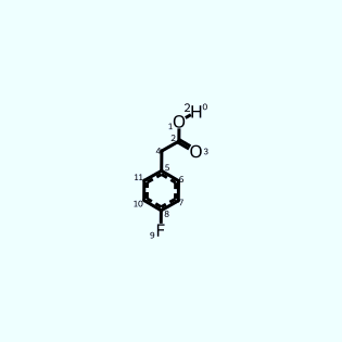 [2H]OC(=O)Cc1ccc(F)cc1